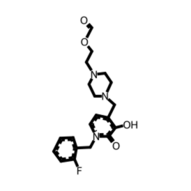 O=COCCN1CCN(Cc2ccn(Cc3ccccc3F)c(=O)c2O)CC1